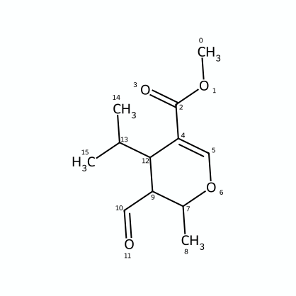 COC(=O)C1=COC(C)C(C=O)C1C(C)C